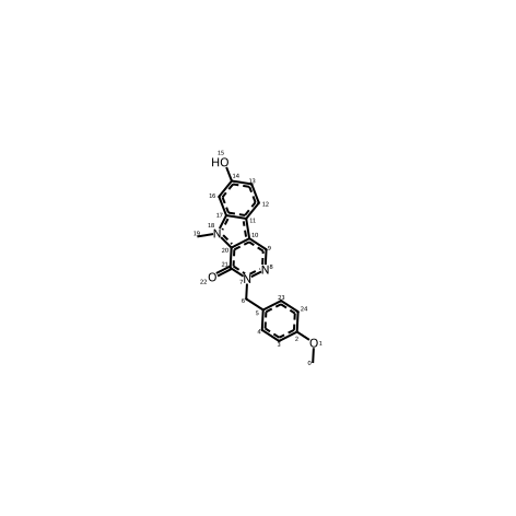 COc1ccc(Cn2ncc3c4ccc(O)cc4n(C)c3c2=O)cc1